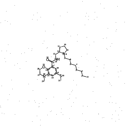 CCCCCCCCN1CCCC1CNC(=O)c1cc(SC)cc2c1OCCN2C